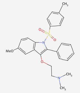 COc1ccc2c(c1)c(OCCN(C)C)c(-c1ccccc1)n2S(=O)(=O)c1ccc(C)cc1